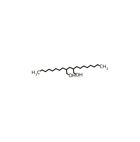 CCCCCCCCC(CO)CC(CO)CCCCCCCC